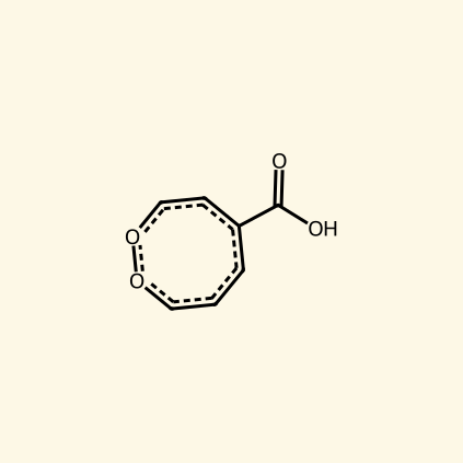 O=C(O)c1cccoocc1